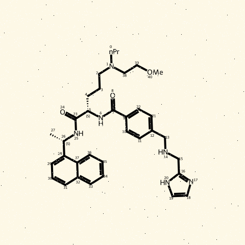 CCCN(CCC[C@H](NC(=O)c1ccc(CNCc2ncc[nH]2)cc1)C(=O)N[C@@H](C)c1cccc2ccccc12)CCOC